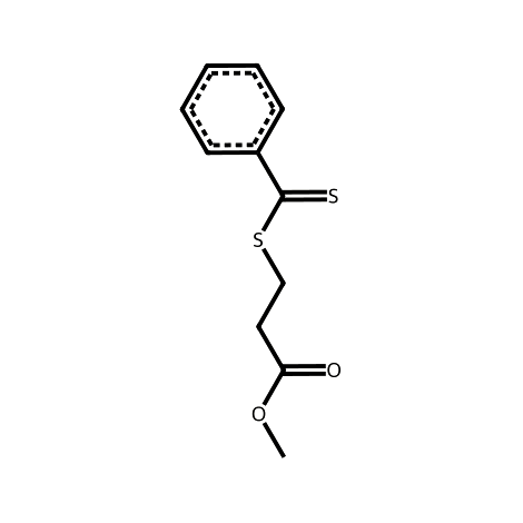 COC(=O)CCSC(=S)c1ccccc1